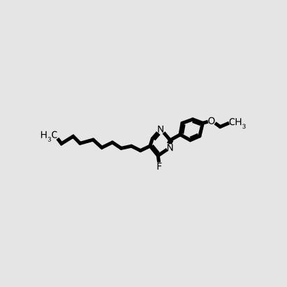 CCCCCCCCCCc1cnc(-c2ccc(OCC)cc2)nc1F